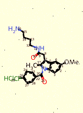 COc1ccc2c(c1)c(CC(=O)NCCCCN)c(C)n2C(=O)c1ccc(Cl)cc1.Cl